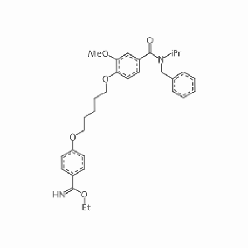 CCOC(=N)c1ccc(OCCCCCOc2ccc(C(=O)N(Cc3ccccc3)C(C)C)cc2OC)cc1